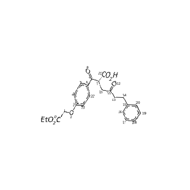 CCOC(=O)COc1ccc(C(=O)C(CC(=O)CCc2ccccc2)C(=O)O)cc1